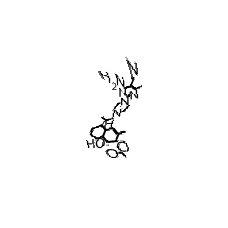 CC(=O)O[C@@H]1[CH][C@@]2(O)[C@H](C)CC[C@@H](C(C)CN3CCN(c4nc(C)c(C#N)c(N)n4)CC3)[C@H]2C=C1C